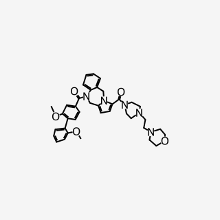 COc1ccccc1-c1ccc(C(=O)N2Cc3ccc(C(=O)N4CCN(CCN5CCOCC5)CC4)n3Cc3ccccc32)cc1OC